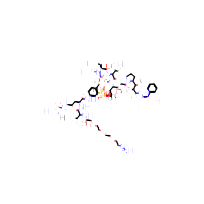 CC[C@H](C)[C@@H]([C@@H](CC(=O)N1CCCC1C(OC)C(C)C(=O)NC(C)C(O)c1ccccc1)OC)N(C)C(=O)C(NC(=O)C(C(C)C)N(C)C(=O)OCc1ccc(NC(=O)C(CCCNC(N)=O)NC(=O)C(NC(=O)COCCOCCOCCN=N)C(C)C)cc1S(=O)(=O)OC)C(C)C